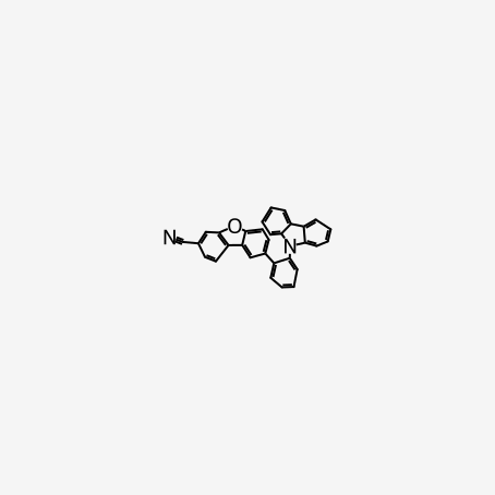 N#Cc1ccc2c(c1)oc1ccc(-c3ccccc3-n3c4ccccc4c4ccccc43)cc12